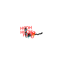 C=CCCCCS(=O)(=O)O.OB(O)F.OB(O)F.OB(O)F.[LiH]